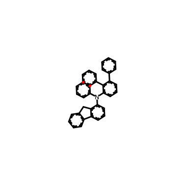 c1ccc(-c2cccc(N(c3ccccc3)c3cccc4c3Cc3ccccc3-4)c2-c2ccccc2)cc1